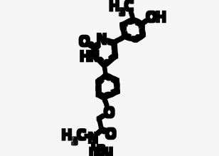 CCCCN(C)C(=O)COc1ccc(-c2cc(-c3ccc(O)c(C)c3)nc(=O)[nH]2)cc1